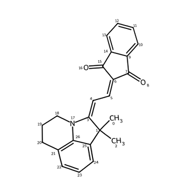 CC1(C)C(=CC=C2C(=O)c3ccccc3C2=O)N2CCCc3cccc1c32